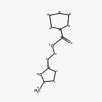 CC1CCC(CCOC(=O)C2CCCCC2)O1